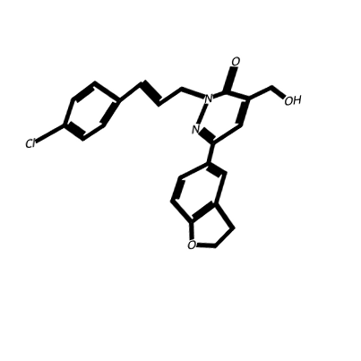 O=c1c(CO)cc(-c2ccc3c(c2)CCO3)nn1CC=Cc1ccc(Cl)cc1